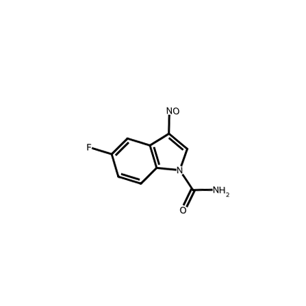 NC(=O)n1cc(N=O)c2cc(F)ccc21